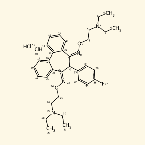 CCN(CC)CCON=C1c2ccccc2-c2ccccc2C(=NOCCN(CC)CC)C1c1ccc(F)cc1.Cl.Cl